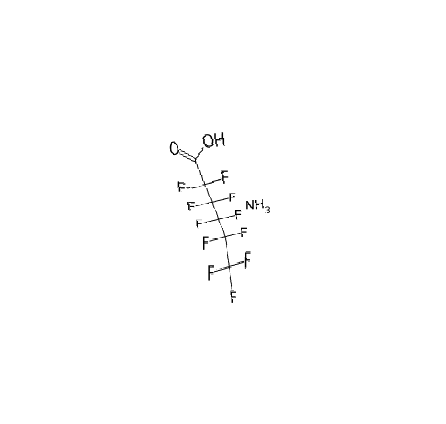 N.O=C(O)C(F)(F)C(F)(F)C(F)(F)C(F)(F)C(F)(F)F